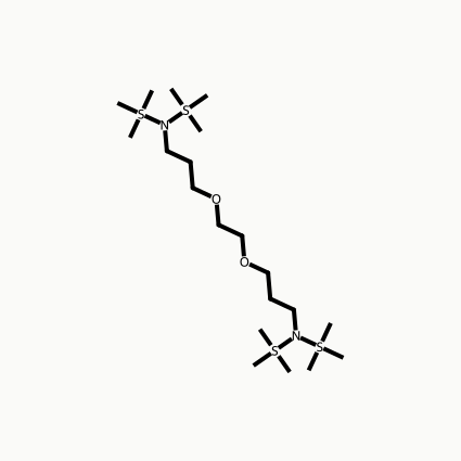 CS(C)(C)N(CCCOCCOCCCN(S(C)(C)C)S(C)(C)C)S(C)(C)C